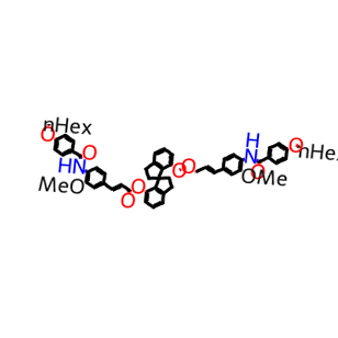 CCCCCCOc1ccc(C(=O)Nc2ccc(/C=C/COOc3cccc4c3C3(CC4)CCc4cccc(OC(=O)/C=C/c5ccc(NC(=O)c6ccc(OCCCCCC)cc6)c(OC)c5)c43)cc2OC)cc1